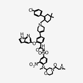 CN(C)CC(=O)N1CCOC(N(C)c2ccc(S(=O)(=O)NC(=O)c3ccc(C4=CCN(CC5=C(c6ccc(Cl)cc6)CC(C)(C)CC5)CC4)cc3Oc3cnc4[nH]ccc4c3)cc2[N+](=O)[O-])C1